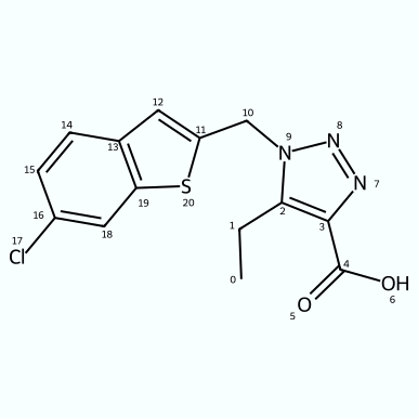 CCc1c(C(=O)O)nnn1Cc1cc2ccc(Cl)cc2s1